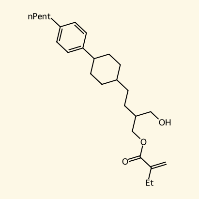 C=C(CC)C(=O)OCC(CO)CCC1CCC(c2ccc(CCCCC)cc2)CC1